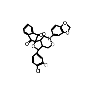 O=C1C2C(CON1c1ccc3c(c1)OCO3)C(c1ccc(Cl)c(Cl)c1)OC21C(=O)c2ccccc2C1=O